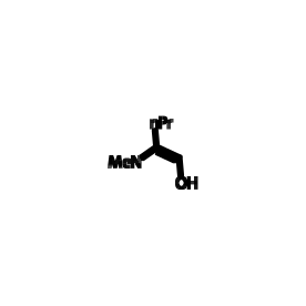 CCC/C(=C/O)NC